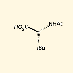 CC[C@@H](C)[C@@H](NC(C)=O)C(=O)O